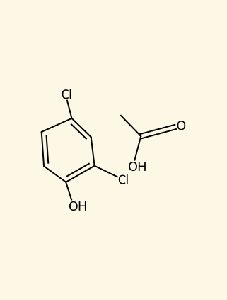 CC(=O)O.Oc1ccc(Cl)cc1Cl